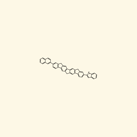 c1ccc2cc(-c3ccc4c(c3)Cc3cc5c(cc3-4)Cc3cc4c(cc3-5)Cc3cc(-c5cc6ccccc6s5)ccc3-4)ccc2c1